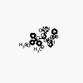 COc1ccc(C(OC[C@H]2O[C@@H](n3cncnc3=O)C[C@@H]2O[P@]2O[C@H](CS(=O)(=O)c3ccccc3)[C@@H]3CCCN32)(c2ccccc2)c2ccc(OC)cc2)cc1